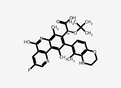 Cc1c(-c2c([C@H](OC(C)(C)C)C(=O)O)c(C)c3nc(O)c4cc(F)cnc4c3c2C)ccc2c1NCCO2